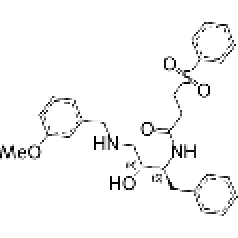 COc1cccc(CNC[C@@H](O)[C@H](Cc2ccccc2)NC(=O)CCS(=O)(=O)c2ccccc2)c1